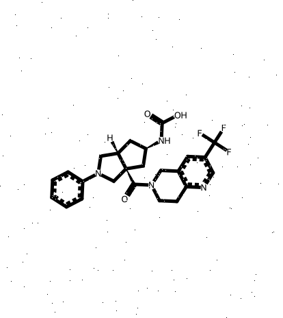 O=C(O)N[C@@H]1C[C@H]2CN(c3ccccc3)C[C@@]2(C(=O)N2CCc3ncc(C(F)(F)F)cc3C2)C1